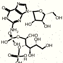 Nc1nc2c(ncn2[C@@H]2O[C@H](CO)[C@@H](O)[C@H]2O)c(=O)[nH]1.O=C[C@H](OP(=O)(O)O)[C@@H](OP(=O)(O)O)[C@H](O)[C@H](O)CO